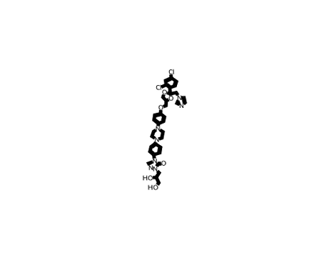 O=c1n(-c2ccc(N3CCN(c4ccc(OCC5COC(Cn6ccnc6)(c6ccc(Cl)cc6Cl)O5)cc4)CC3)cc2)cnn1CC(O)CO